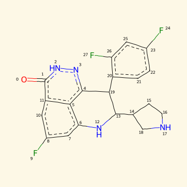 O=c1[nH]nc2c3c(cc(F)cc13)NC(C1CCNC1)C2c1ccc(F)cc1F